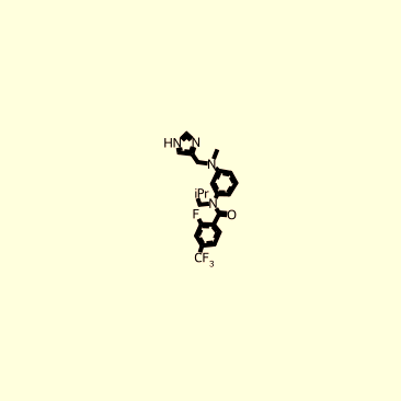 CC(C)CN(C(=O)c1ccc(C(F)(F)F)cc1F)c1cccc(N(C)Cc2c[nH]cn2)c1